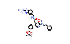 COC(=O)c1cccc(C2=CN=C(NCCc3ccccc3)C(=O)C2CC(=O)NCc2ccc3nc(N)[nH]c3c2)c1